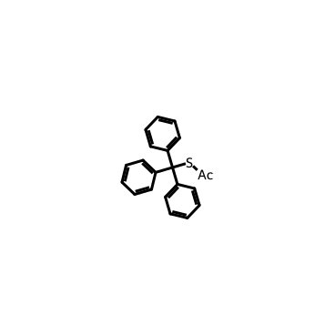 CC(=O)SC(c1ccccc1)(c1ccccc1)c1ccccc1